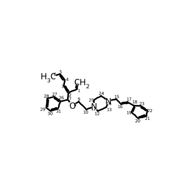 C=C/C(=C\C=C/C)C(OCCN1CCN(C/C=C/c2ccccc2)CC1)c1ccccc1